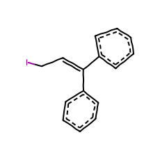 ICC=C(c1ccccc1)c1ccccc1